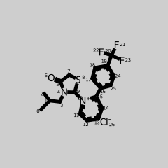 CC(C)CN1C(=O)CSC1[n+]1ccccc1-c1ccc(C(F)(F)F)cc1.[Cl-]